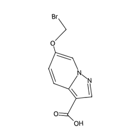 O=C(O)c1cnn2cc(OCBr)ccc12